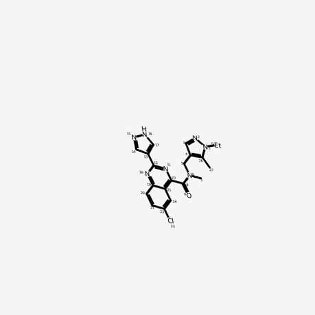 CCn1ncc(CN(C)C(=O)c2nc(-c3cn[nH]c3)nc3ccc(Cl)cc23)c1C